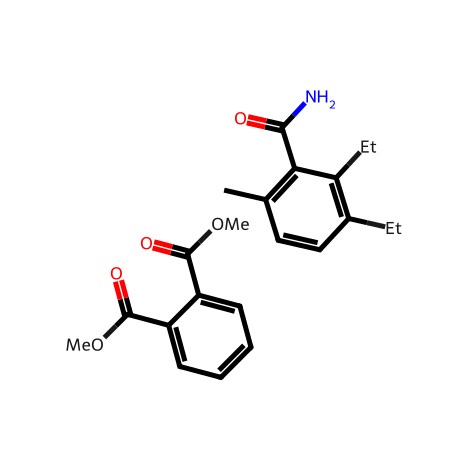 CCc1ccc(C)c(C(N)=O)c1CC.COC(=O)c1ccccc1C(=O)OC